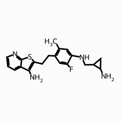 Cc1cc(NCC2CC2N)c(F)cc1CCc1sc2ncccc2c1N